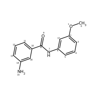 COc1cccc(NC(=O)c2cccc(N)c2)c1